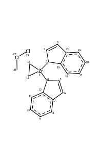 C1=C[CH]([Zr]2([CH]3C=Cc4ccccc43)[CH2][CH2]2)c2ccccc21.COCl